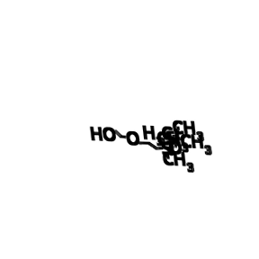 C[Si](C)(C)O[Si](C)(C)CCCOCCO